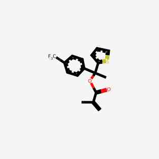 C=C(C)C(=O)OC(C)(c1ccc(C(F)(F)F)cc1)c1cccs1